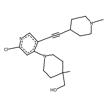 CN1CCC(C#Cc2cnc(Cl)cc2N2CCC(C)(CO)CC2)CC1